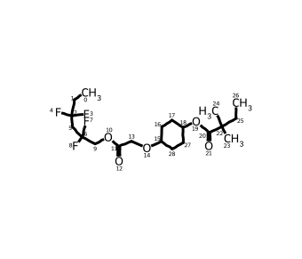 CCC(F)(F)CC(F)(F)COC(=O)COC1CCC(OC(=O)C(C)(C)CC)CC1